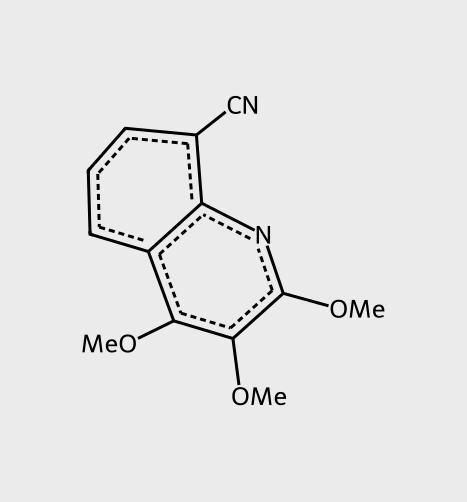 COc1nc2c(C#N)cccc2c(OC)c1OC